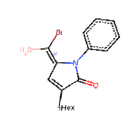 B/C(Br)=C1\C=C(CCCCCC)C(=O)N1c1ccccc1